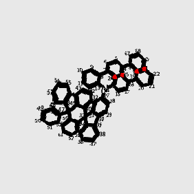 c1ccc(-c2ccc(-c3ccccc3N(c3ccc(-c4ccccc4)cc3)c3ccc4c(c3)C3(c5ccccc5-4)c4ccccc4C(c4ccccc4)(c4ccccc4)c4ccccc43)cc2)cc1